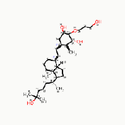 C=C1/C(=C\C=C2/CCC[C@]3(C)C([C@H](C)CCCC(C)(C)O)CC[C@@H]23)C[C@@H](O)C(OCCCO)[C@@H]1O